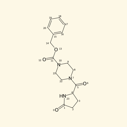 O=C1CCC(C(=O)N2CCN(C(=O)OCc3ccccc3)CC2)N1